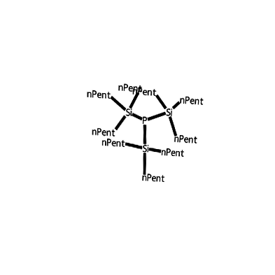 CCCCC[Si](CCCCC)(CCCCC)P([Si](CCCCC)(CCCCC)CCCCC)[Si](CCCCC)(CCCCC)CCCCC